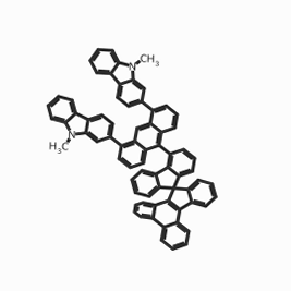 Cn1c2ccccc2c2ccc(-c3cccc4c(-c5cccc6c5-c5ccccc5C65c6ccccc6-c6c5c5ccccc5c5ccccc65)c5cccc(-c6ccc7c8ccccc8n(C)c7c6)c5cc34)cc21